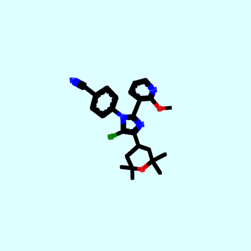 COc1ncccc1-c1nc(C2CC(C)(C)OC(C)(C)C2)c(Cl)n1-c1ccc(C#N)cc1